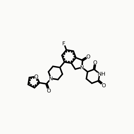 O=C1CCC(N2Cc3c(cc(F)cc3C3CCN(C(=O)c4ccco4)CC3)C2=O)C(=O)N1